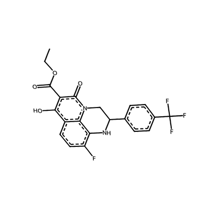 CCOC(=O)c1c(O)c2ccc(F)c3c2n(c1=O)CC(c1ccc(C(F)(F)F)cc1)N3